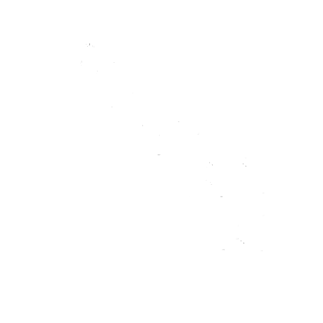 COC(=O)c1ccc(CCc2ccc(NC(=O)c3cc(N4CCCCC4)ccc3N=O)cc2)cc1